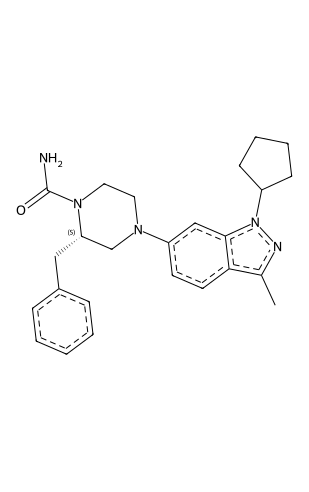 Cc1nn(C2CCCC2)c2cc(N3CCN(C(N)=O)[C@@H](Cc4ccccc4)C3)ccc12